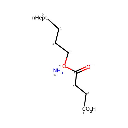 CCCCCCCCCCOC(=O)CCC(=O)O.N